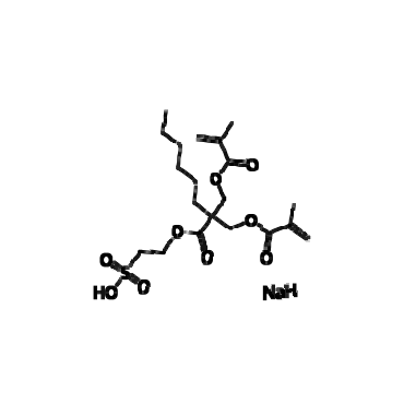 C=C(C)C(=O)OCC(CCCCCC)(COC(=O)C(=C)C)C(=O)OCCS(=O)(=O)O.[NaH]